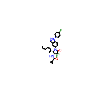 C=C(/C=C\C=C/C)[C@@H]1[C@@H](NC(=O)C2CC2)C(F)(F)C(=O)N1c1ccc2c(cnn2-c2ccc(F)cc2)c1